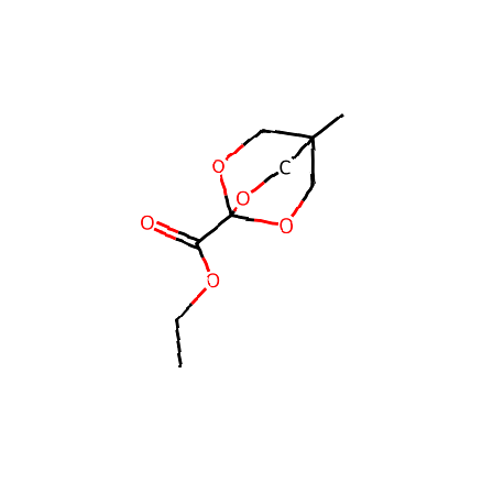 CCOC(=O)C12OCC(C)(CO1)CO2